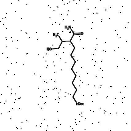 CCCCCCCCCCCCCCCCCCC(C(N)=O)C(C)CO